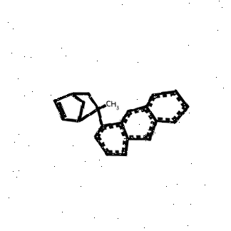 CC1(c2cccc3cc4ccccc4cc23)CC2C=CC1C2